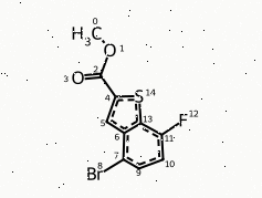 COC(=O)c1cc2c(Br)ccc(F)c2s1